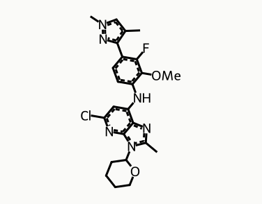 COc1c(Nc2cc(Cl)nc3c2nc(C)n3C2CCCCO2)ccc(-c2nn(C)cc2C)c1F